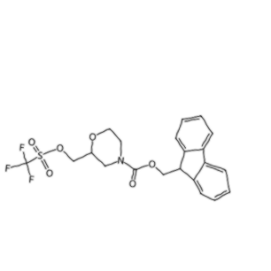 O=C(OCC1c2ccccc2-c2ccccc21)N1CCOC(COS(=O)(=O)C(F)(F)F)C1